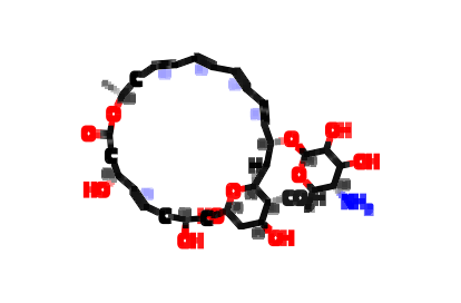 CC1O[C@@H](O[C@H]2/C=C/C=C/C=C/C=C/C[C@@H](C)OC(=O)C[C@@H](O)/C=C/C[C@H](O)C[C@]3(O)C[C@H](O)[C@@H](C(=O)O)[C@H](C2)O3)C(O)C(O)[C@@H]1N